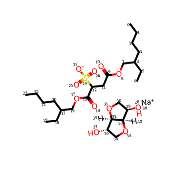 CCCCC(CC)COC(=O)CC(C(=O)OCC(CC)CCCC)S(=O)(=O)[O-].O[C@@H]1CO[C@H]2[C@@H]1OC[C@@H]2O.[Na+]